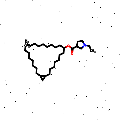 CCCCCCCCCC(CCCCCCCC1CC1CCCCCCCC)OC(=O)C1CCN(CC)C1